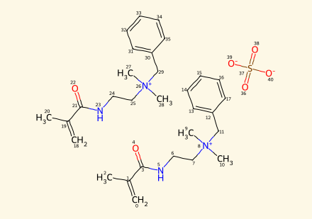 C=C(C)C(=O)NCC[N+](C)(C)Cc1ccccc1.C=C(C)C(=O)NCC[N+](C)(C)Cc1ccccc1.O=S(=O)([O-])[O-]